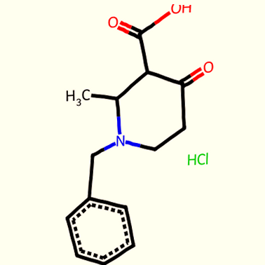 CC1C(C(=O)O)C(=O)CCN1Cc1ccccc1.Cl